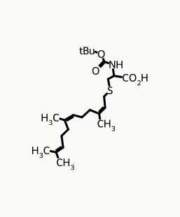 CC(C)=CCCC(C)=CCCC(C)=CCSCC(NC(=O)OC(C)(C)C)C(=O)O